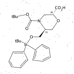 CC(C)(C)OC(=O)N1C[C@H](C(=O)O)OC[C@H]1CO[Si](c1ccccc1)(c1ccccc1)C(C)(C)C